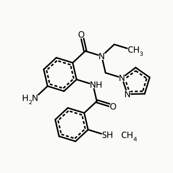 C.CCN(Cn1cccn1)C(=O)c1ccc(N)cc1NC(=O)c1ccccc1S